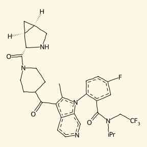 Cc1c(C(=O)C2CCN(C(=O)[C@H]3NC[C@@H]4C[C@@H]43)CC2)c2ccncc2n1-c1ccc(F)cc1C(=O)N(CC(F)(F)F)C(C)C